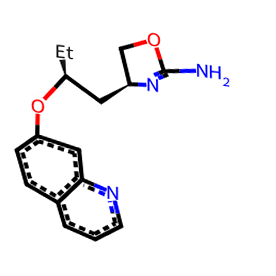 CC[C@@H](C[C@H]1COC(N)=N1)Oc1ccc2cccnc2c1